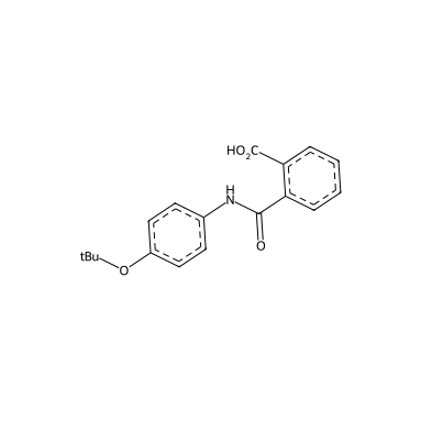 CC(C)(C)Oc1ccc(NC(=O)c2ccccc2C(=O)O)cc1